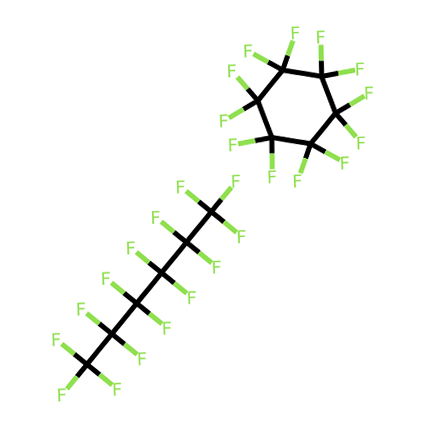 FC(F)(F)C(F)(F)C(F)(F)C(F)(F)C(F)(F)C(F)(F)F.FC1(F)C(F)(F)C(F)(F)C(F)(F)C(F)(F)C1(F)F